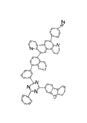 N#Cc1ccc(-c2cc3c4cccnc4c(-c4ccc(-c5cccc(-c6nc(-c7ccccc7)nc(-c7ccc8c(c7)oc7ccccc78)n6)c5)c5ccccc45)cc3c3cccnc23)cc1